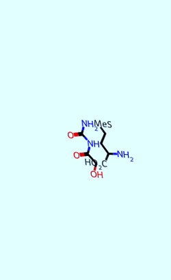 CSCCC(N)C(=O)O.NC(=O)NC(=O)CO